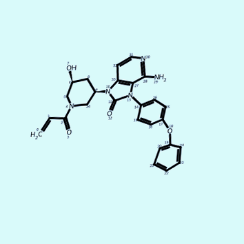 C=CC(=O)N1C[C@@H](O)C[C@@H](n2c(=O)n(-c3ccc(Oc4ccccc4)cc3)c3c(N)nccc32)C1